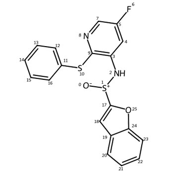 [O-][S+](Nc1cc(F)cnc1Sc1ccccc1)c1cc2ccccc2o1